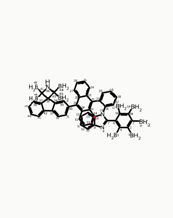 Bc1c(B)c(B)c(-c2nc3ccccc3n2-c2ccccc2-c2c3ccccc3c(-c3ccc4c(c3)C3(c5ccccc5-4)C(B)(B)NC3(B)B)c3ccccc23)c(B)c1B